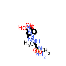 C=N/C(=C\C=C(/C)Nc1ncc2cc3n(c2n1)C1(CCCCC1)C(=O)N(O)C3O)S(N)(=O)=O